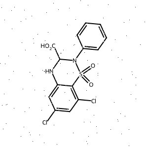 O=C(O)C1Nc2cc(Cl)cc(Cl)c2S(=O)(=O)N1c1ccccc1